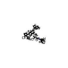 N#CC[C@H]1CN(c2nc(OC[C@@]34CCCN3C[C@H](F)C4)nc3c(F)c(-c4cccc(Cl)c4C4CCC4)ncc23)CCN1C(=O)/C=C/CN1[C@@H]2CC[C@H]1COC2